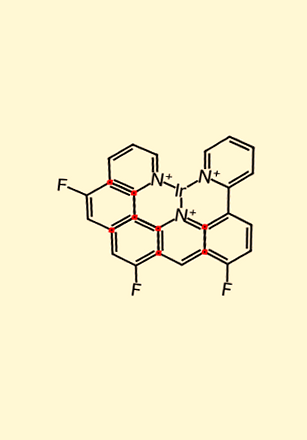 Fc1ccc(-c2cccc[n+]2[Ir]([n+]2ccccc2-c2ccc(F)cc2)[n+]2ccccc2-c2ccc(F)cc2)cc1